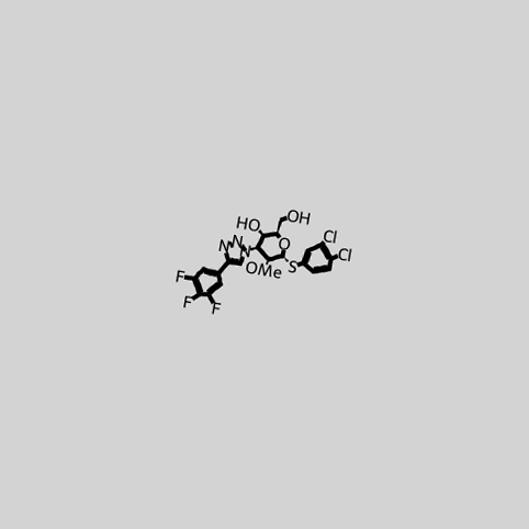 CO[C@@H]1[C@@H](n2cc(-c3cc(F)c(F)c(F)c3)nn2)[C@@H](O)[C@@H](CO)O[C@@H]1Sc1ccc(Cl)c(Cl)c1